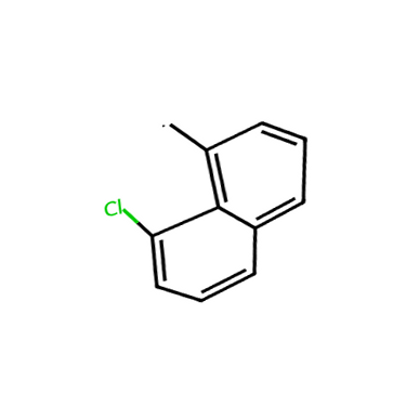 [CH2]c1cccc2cccc(Cl)c12